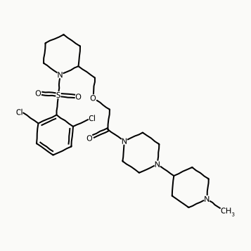 CN1CCC(N2CCN(C(=O)COCC3CCCCN3S(=O)(=O)c3c(Cl)cccc3Cl)CC2)CC1